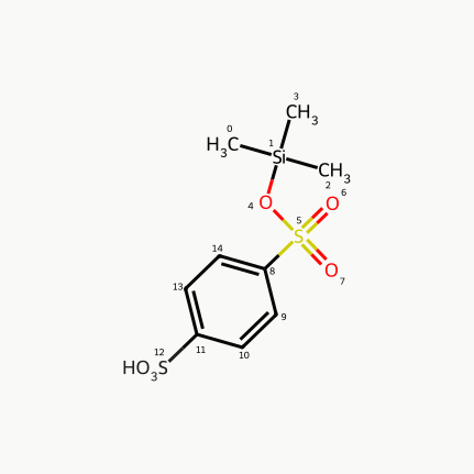 C[Si](C)(C)OS(=O)(=O)c1ccc(S(=O)(=O)O)cc1